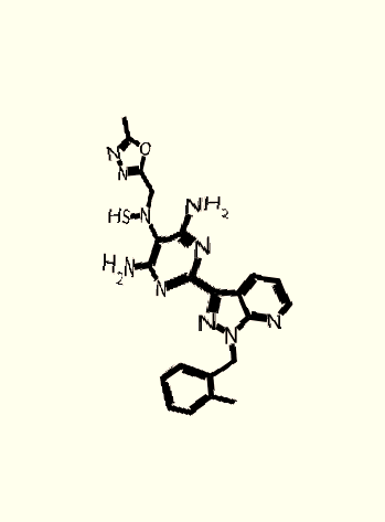 Cc1nnc(CN(S)c2c(N)nc(-c3nn(Cc4ccccc4C)c4ncccc34)nc2N)o1